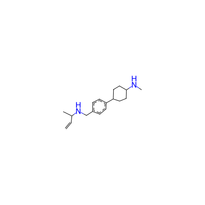 C=CC(C)NCc1ccc(C2CCC(NC)CC2)cc1